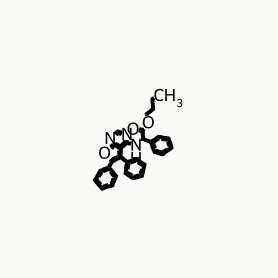 CCCCOC(=O)[C@@H](Nc1ncnc2oc(-c3ccccc3)c(-c3ccccc3)c12)c1ccccc1